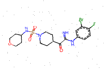 N=C(Nc1ccc(F)c(Br)c1)C(=O)C1CCN(S(=O)(=O)NC2CCOCC2)CC1